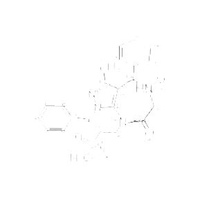 Cc1nn(Cc2ccccc2)c2c1C(c1ccccc1)[NH+]([O-])CC(=O)N2CCS(C)(=O)=O